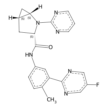 Cc1ccc(NC(=O)[C@@H]2C[C@@H]3C[C@@H]3N2c2ncccn2)cc1-c1ncc(F)cn1